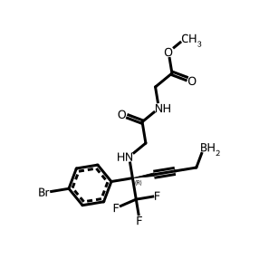 BCC#C[C@](NCC(=O)NCC(=O)OC)(c1ccc(Br)cc1)C(F)(F)F